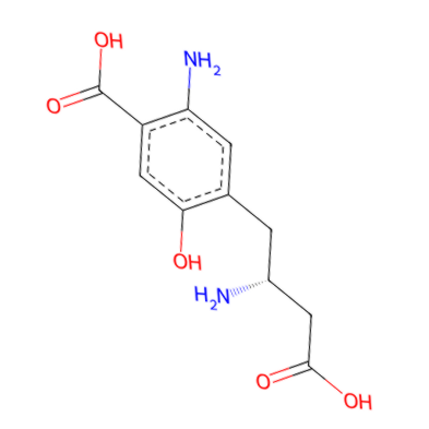 Nc1cc(C[C@@H](N)CC(=O)O)c(O)cc1C(=O)O